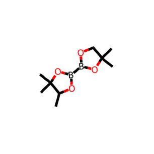 CC1OB(B2OCC(C)(C)O2)OC1(C)C